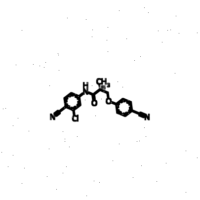 C[C@H](COc1ccc(C#N)cc1)C(=O)Nc1ccc(C#N)c(Cl)c1